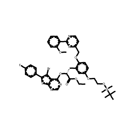 CCOC(=O)[C@@H](Cc1cc(OCCO[Si](C)(C)C(C)(C)C)ccc1OCc1ccnc(-c2ccccc2OC)n1)Oc1ncnc2sc(-c3ccc(F)cc3)c(Br)c12